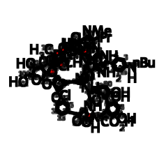 CCCCNc1ccc(C(=O)Nc2ccn(CCNC3(C)C[C@H](O[C@H]4C(Oc5c6cc7cc5Oc5ccc(cc5Cl)[C@@H](O)[C@H]5NC(=O)[C@@H](NC(=O)C7NC(=O)[C@H](CC(N)=O)NC(=O)[C@H](NC(=O)[C@H](CC(C)C)NC)[C@H](O)c7ccc(c(Cl)c7)O6)c6ccc(O)c(c6)-c6c(O)cc(O)cc6[C@H](C(=O)O)NC5=O)O[C@@H](CO)[C@@H](O)[C@H]4O)OC(C)[C@@H]3O)c(=O)n2)cc1